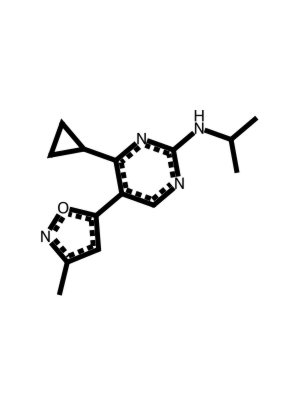 Cc1cc(-c2cnc(NC(C)C)nc2C2CC2)on1